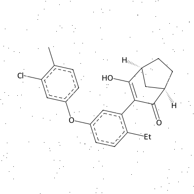 CCc1ccc(Oc2ccc(C)c(Cl)c2)cc1C1=C(O)[C@H]2CC[C@H](C2)C1=O